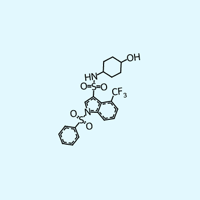 O=S(=O)(NC1CCC(O)CC1)c1cn(S(=O)(=O)c2ccccc2)c2cccc(C(F)(F)F)c12